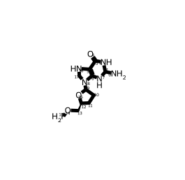 NC1NC(=O)C2=C(N1)N(C1CC[C@@H](COP)O1)CN2